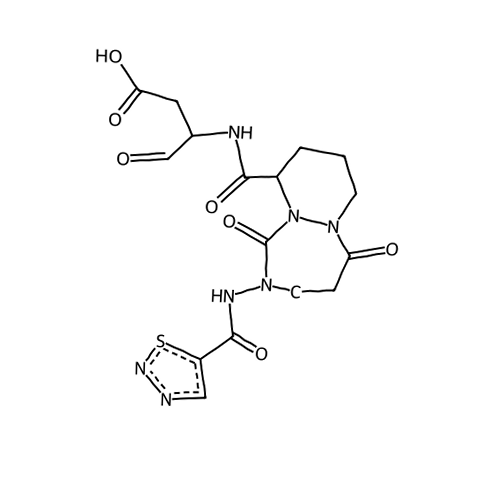 O=CC(CC(=O)O)NC(=O)C1CCCN2C(=O)CCN(NC(=O)c3cnns3)C(=O)N12